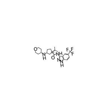 CC(C)[C@]1(C(=O)Nc2n[nH]c3ccc(C(F)(F)F)cc23)CCC(NC2CCOCC2)C1